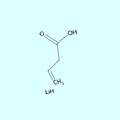 C=CCC(=O)O.[LiH]